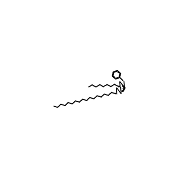 CCCCCCCCCCCCCCCCCC[n+]1ccn(Cc2ccccc2)c1CCCCCCCC